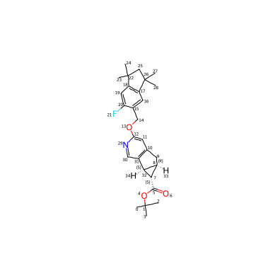 CC(C)(C)OC(=O)[C@H]1[C@@H]2Cc3cc(OCc4cc5c(cc4F)C(C)(C)CC5(C)C)ncc3[C@@H]21